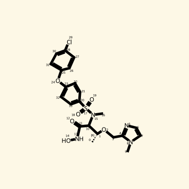 C[C@@H](OCc1nccn1C)C(C(=O)NO)N(C)S(=O)(=O)c1ccc(Oc2ccc(Cl)cc2)cc1